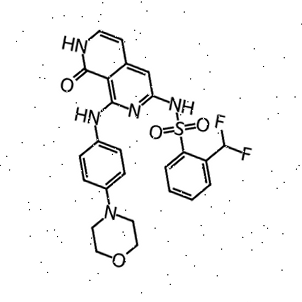 O=c1[nH]ccc2cc(NS(=O)(=O)c3ccccc3C(F)F)nc(Nc3ccc(N4CCOCC4)cc3)c12